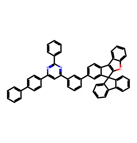 c1ccc(-c2ccc(-c3cc(-c4cccc(-c5ccc6c(c5)C5(c7ccccc7-c7ccccc75)c5oc7ccccc7c5-6)c4)nc(-c4ccccc4)n3)cc2)cc1